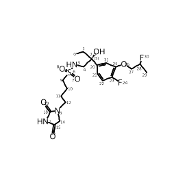 CC[C@@](O)(CNS(=O)(=O)CCCCN1CC(=O)NC1=O)c1ccc(F)c(OCC(C)F)c1